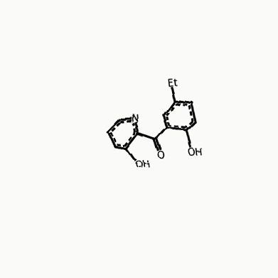 CCc1ccc(O)c(C(=O)c2ncccc2O)c1